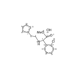 COC(=O)C(NCCc1cccs1)c1ccccc1Cl.Cl